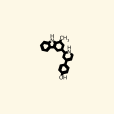 CC1CC(C2CC(c3ccc(O)cc3)=CCN2)Cc2c1[nH]c1ccccc21